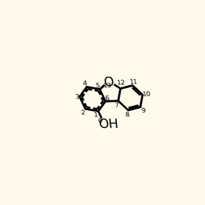 Oc1cccc2c1C1C=CC=CC1O2